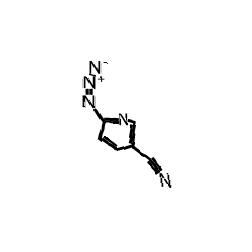 N#Cc1ccc(N=[N+]=[N-])nc1